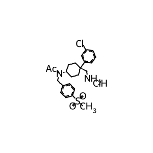 CC(=O)N(Cc1ccc(S(C)(=O)=O)cc1)[C@H]1CC[C@@](CN)(c2cccc(Cl)c2)CC1.Cl